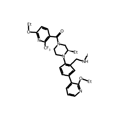 CCOc1ccc(C(=O)N2CCN(c3ccc(-c4cccnc4OCC)cc3CNI)[C@H](CC)C2)c(C(F)(F)F)n1